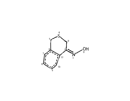 ON=C1CSCc2ccccc21